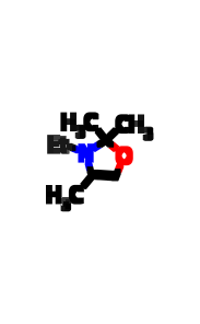 CCN1C(C)=COC1(C)C